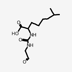 CC(C)CCCCC(NC(=O)NCC=O)C(=O)O